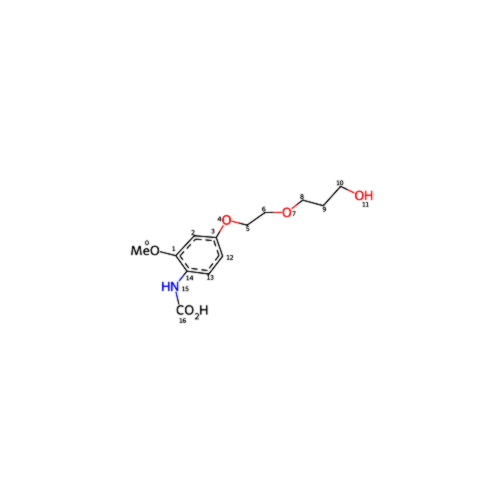 COc1cc(OCCOCCCO)ccc1NC(=O)O